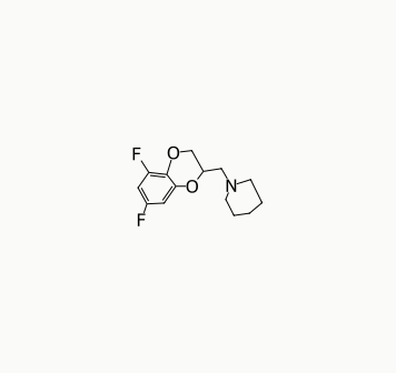 Fc1cc(F)c2c(c1)OC(CN1CCCCC1)CO2